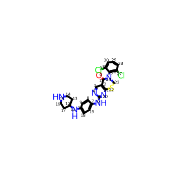 O=C1c2cnc(Nc3ccc(NC4CCNCC4)cc3)nc2SCN1c1c(Cl)cccc1Cl